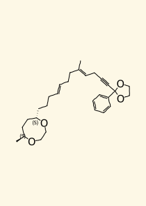 CC(=CCC#CC1(c2ccccc2)OCCO1)CCC=CCCC[C@H]1CC[C@H](C)OCCO1